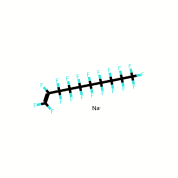 FC(F)=C(F)C(F)(F)C(F)(F)C(F)(F)C(F)(F)C(F)(F)C(F)(F)C(F)(F)C(F)(F)F.[Na]